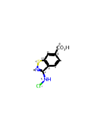 O=C(O)c1ccc2c(NCl)nsc2c1